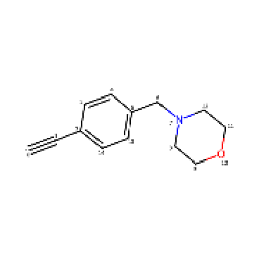 [C]#Cc1ccc(CN2CCOCC2)cc1